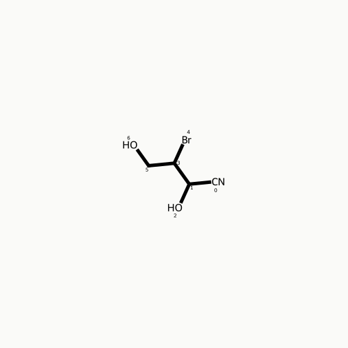 N#CC(O)C(Br)CO